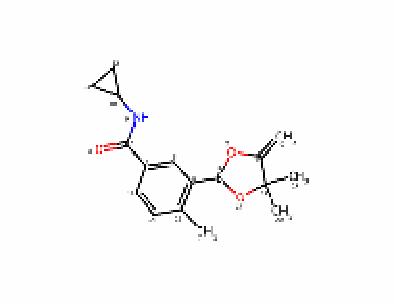 C=C1OB(c2cc(C(=O)NC3CC3)ccc2C)OC1(C)C